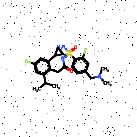 CC(C)c1cc(F)cc(C2CC2)c1CC(=O)N=S(N)(=O)c1ccc(CN(C)C)cc1F